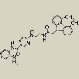 Cc1cccc2c1-c1c(C)cccc1C2=CC(=O)NCCNc1ccc(C(=O)Nc2ccccc2N)cn1